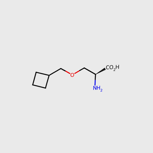 N[C@@H](COCC1CCC1)C(=O)O